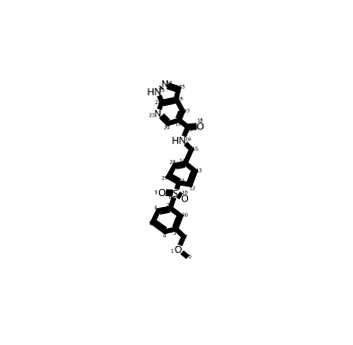 COCc1cccc(S(=O)(=O)c2ccc(CNC(=O)c3cnc4[nH]ncc4c3)cc2)c1